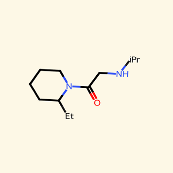 CCC1CCCCN1C(=O)CNC(C)C